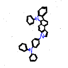 c1ccc(N(c2ccccc2)c2ccc(-n3ccc4c5ccc6c7ccccc7n(-c7ccccc7)c6c5ccc43)cc2)cc1